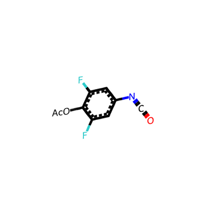 CC(=O)Oc1c(F)cc(N=C=O)cc1F